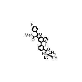 C#CC(C)(CC)NC(=O)c1cccc(-c2cc3c(C(=O)NC)c(-c4ccc(F)cc4)oc3c3cc[nH]c23)c1